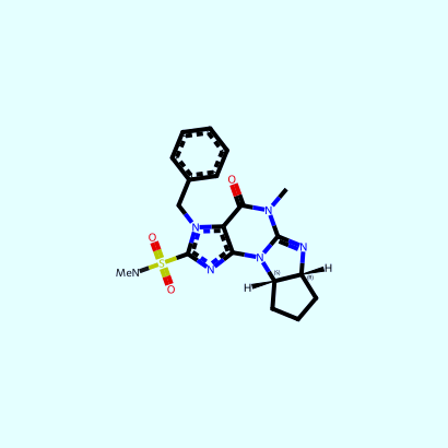 CNS(=O)(=O)c1nc2c(n1Cc1ccccc1)C(=O)N(C)C1=N[C@@H]3CCC[C@@H]3N12